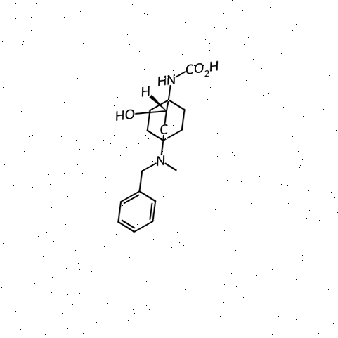 CN(Cc1ccccc1)C12CCC(NC(=O)O)(CC1)[C@@H](O)C2